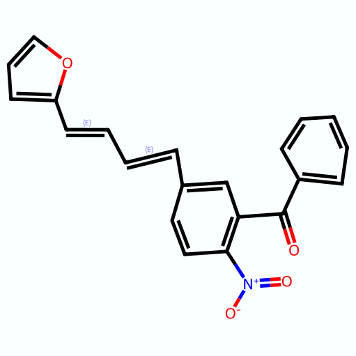 O=C(c1ccccc1)c1cc(/C=C/C=C/c2ccco2)ccc1[N+](=O)[O-]